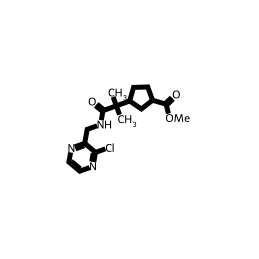 COC(=O)C1CCC(C(C)(C)C(=O)NCc2nccnc2Cl)C1